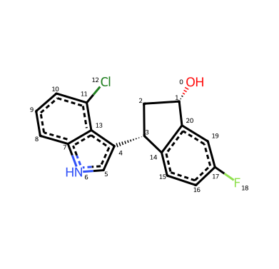 O[C@H]1C[C@@H](c2c[nH]c3cccc(Cl)c23)c2ccc(F)cc21